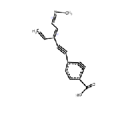 C=C/C(C#Cc1c#cc(C(=O)O)cc1)=C\C=N/C